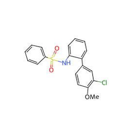 COc1ccc(-c2ccccc2NS(=O)(=O)c2ccccc2)cc1Cl